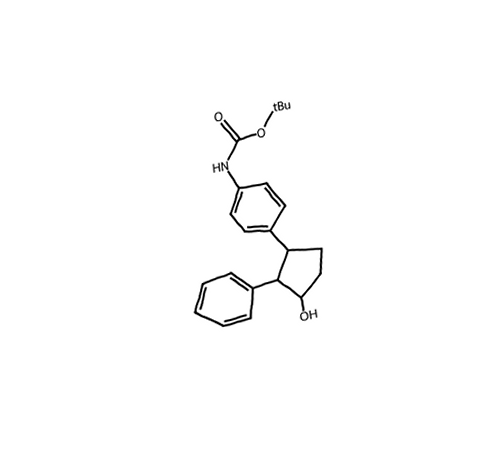 CC(C)(C)OC(=O)Nc1ccc(C2CCC(O)C2c2ccccc2)cc1